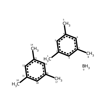 B.Cc1cc(C)cc(C)c1.Cc1cc(C)cc(C)c1